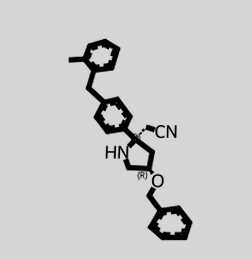 Cc1ccccc1Cc1ccc([C@@]2(CC#N)C[C@@H](OCc3ccccc3)CN2)cc1